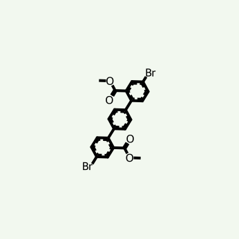 COC(=O)c1cc(Br)ccc1-c1ccc(-c2ccc(Br)cc2C(=O)OC)cc1